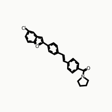 O=C(c1ccc(C=Cc2ccc(-c3cc4cc(Cl)ccc4o3)cc2)cc1)N1CCCC1